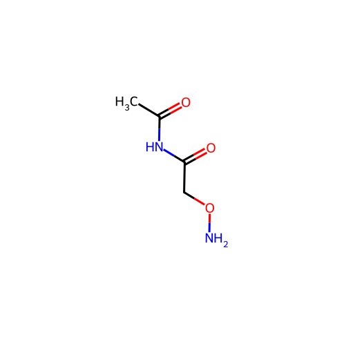 CC(=O)NC(=O)CON